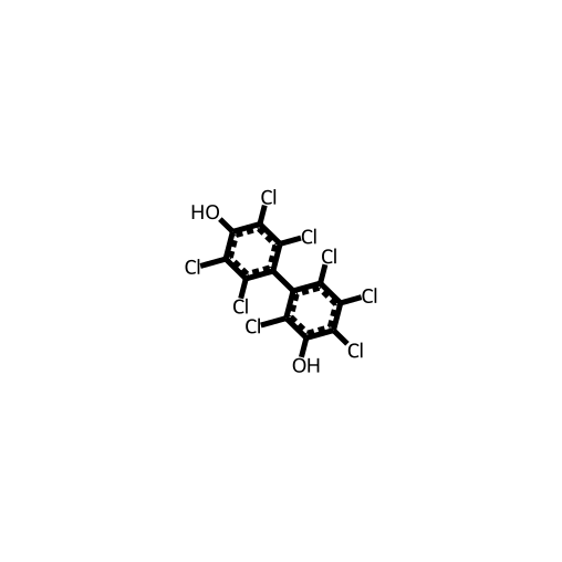 Oc1c(Cl)c(Cl)c(-c2c(Cl)c(O)c(Cl)c(Cl)c2Cl)c(Cl)c1Cl